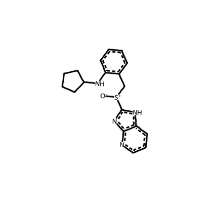 [O-][S+](Cc1ccccc1NC1CCCC1)c1nc2ncccc2[nH]1